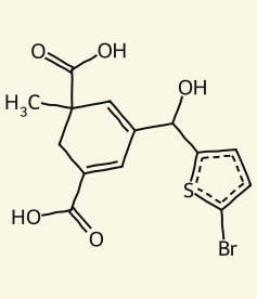 CC1(C(=O)O)C=C(C(O)c2ccc(Br)s2)C=C(C(=O)O)C1